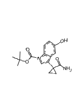 CC(C)(C)OC(=O)n1cc(C2(C(N)=O)CC2)c2cc(O)ccc21